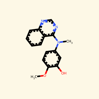 COc1ccc(N(C)c2ncnc3ccccc23)cc1O